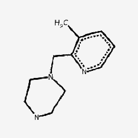 Cc1cccnc1CN1CC[N]CC1